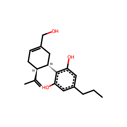 C=C(C)[C@H]1CC=C(CO)C[C@@H]1c1c(O)cc(CCC)cc1O